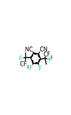 CC(F)(c1c(F)c(F)c(C(C)(F)C(F)(F)F)c(C#N)c1C#N)C(F)(F)F